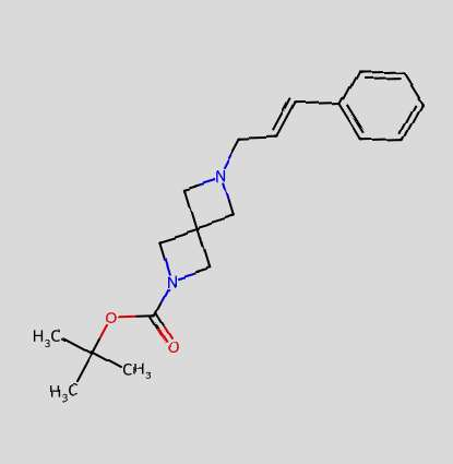 CC(C)(C)OC(=O)N1CC2(CN(C/C=C/c3ccccc3)C2)C1